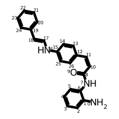 Nc1ccccc1NC(=O)/C=C\c1ccc(N/C=C/c2ccccc2)cc1